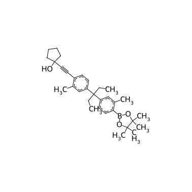 CCC(CC)(c1ccc(C#CC2(O)CCCC2)c(C)c1)c1ccc(B2OC(C)(C)C(C)(C)O2)c(C)c1